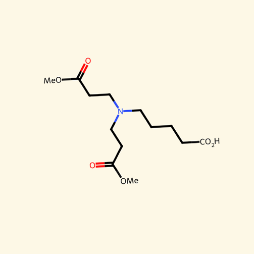 COC(=O)CCN(CCCCC(=O)O)CCC(=O)OC